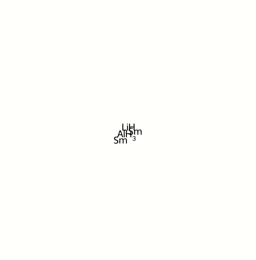 [AlH3].[LiH].[Sm].[Sm]